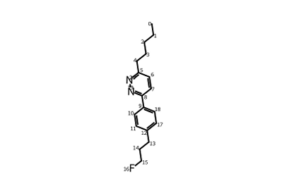 CCCCCc1ccc(-c2ccc(CCCF)cc2)nn1